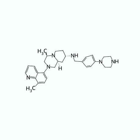 Cc1ccc(N2C[C@@H]3C[C@@H](NCc4ccc(N5CCNCC5)cc4)CCN3[C@H](C)C2)c2cccnc12